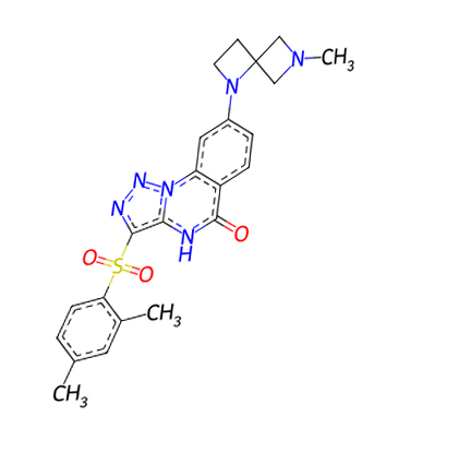 Cc1ccc(S(=O)(=O)c2nnn3c2[nH]c(=O)c2ccc(N4CCC45CN(C)C5)cc23)c(C)c1